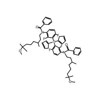 COC(C)(C)CCCC(C)CCN(C(=O)c1ccccc1)c1ccc(F)[c]([Ti]([C]2=CC=CC2)([C]2=CC=CC2)[c]2c(F)ccc(N(CCC(C)CCCC(C)(C)OC)C(=O)c3ccccc3)c2F)c1F